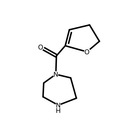 O=C(C1=CCCO1)N1CCNCC1